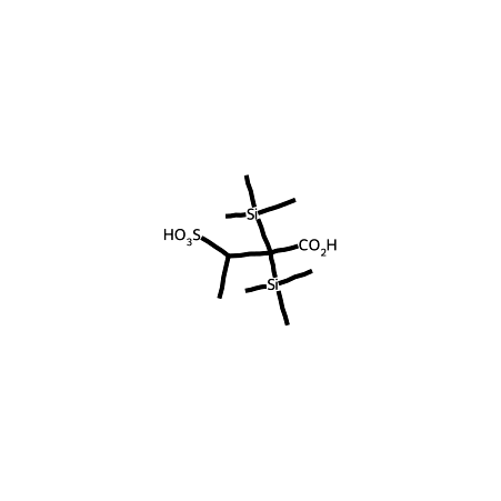 CC(C(C(=O)O)([Si](C)(C)C)[Si](C)(C)C)S(=O)(=O)O